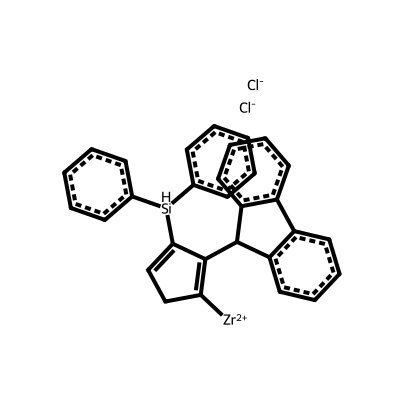 [Cl-].[Cl-].[Zr+2][C]1=C(C2c3ccccc3-c3ccccc32)C([SiH](c2ccccc2)c2ccccc2)=CC1